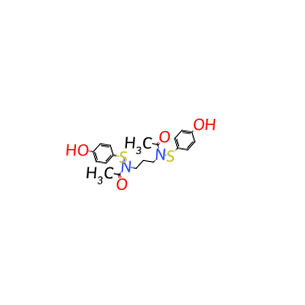 CC(=O)N(CCCN(Sc1ccc(O)cc1)C(C)=O)Sc1ccc(O)cc1